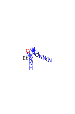 CCc1nc(C(N)=O)c(Nc2ccc(N3CCN(C4CCN(C)CC4)CC3)cc2)nc1N1CCNCC1